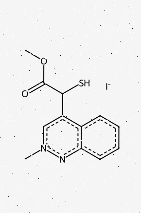 COC(=O)C(S)c1c[n+](C)nc2ccccc12.[I-]